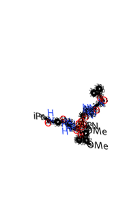 COc1ccc(C(OCC2O[C@@H](n3cnc4c(NC(=O)c5ccc(CNC(=O)CCC(C)C)cc5)ncnc43)CC2OP(=O)(OCCC#N)OC[C@@H]2CCC(n3cnc4c(NC(=O)CCCN(C)C(=O)OCC5c6ccccc6-c6ccccc65)ncnc43)O2)(c2ccccc2)c2ccc(OC)cc2)cc1